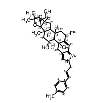 Cc1ccc(/C=C/Cn2cc3c(n2)C=C2[C@@H](F)C[C@@H]4[C@H]([C@@H](O)C[C@@]5(C)[C@H]4C[C@H]4OC(C)(C)O[C@]45C(=O)CO)[C@@]2(C)C3)cc1